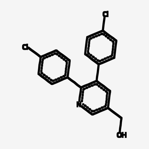 OCc1cnc(-c2ccc(Cl)cc2)c(-c2ccc(Cl)cc2)c1